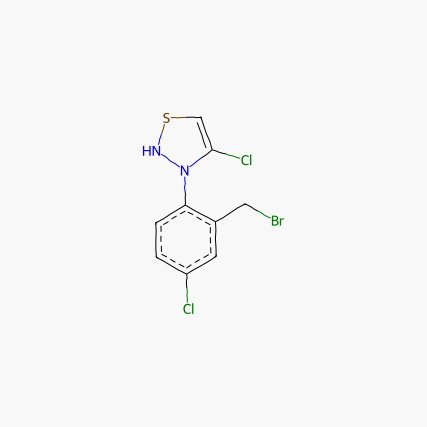 ClC1=CSNN1c1ccc(Cl)cc1CBr